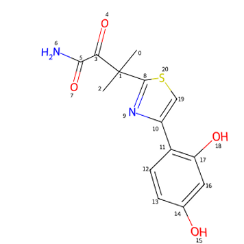 CC(C)(C(=O)C(N)=O)c1nc(-c2ccc(O)cc2O)cs1